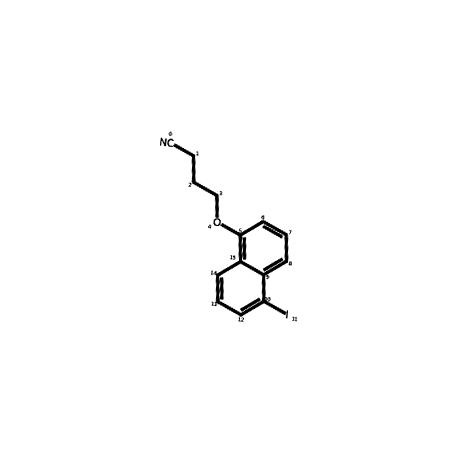 N#CCCCOc1cccc2c(I)cccc12